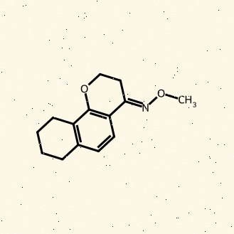 CON=C1CCOc2c1ccc1c2CCCC1